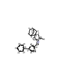 CN1C[C@]2(CC3CCC2CC3)O/[N+]1=N\c1ncc(-c2ccccc2)s1